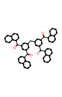 O=C(c1cc(Cc2cc(C(=O)c3cccc4ccccc34)cc(C(=O)c3cccc4ccccc34)c2)cc(C(=O)c2cccc3ccccc23)c1)c1cccc2ccccc12